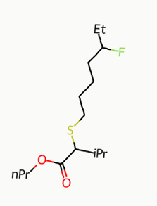 CCCOC(=O)C(SCCCCC(F)CC)C(C)C